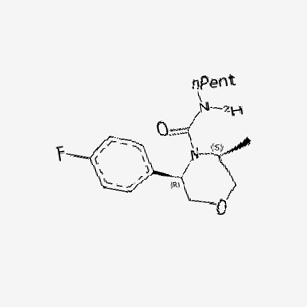 [2H]N(CCCCC)C(=O)N1[C@@H](C)COC[C@H]1c1ccc(F)cc1